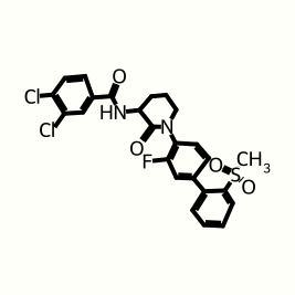 CS(=O)(=O)c1ccccc1-c1ccc(N2CCCC(NC(=O)c3ccc(Cl)c(Cl)c3)C2=O)c(F)c1